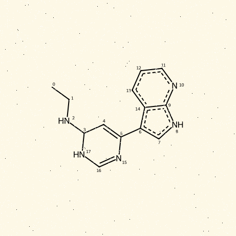 CCNC1C=C(c2c[nH]c3ncccc23)N=CN1